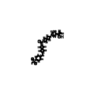 CS(=O)(=O)c1ccc(CC2CC3(C2)CN(C(=O)N2CC4(CC(n5cnc(C6(O)CC6)n5)C4)C2)C3)cc1